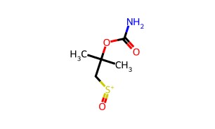 CC(C)(C[S+]=O)OC(N)=O